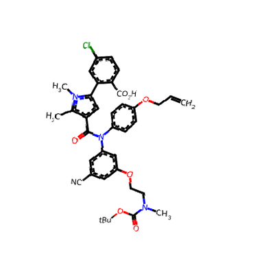 C=CCOc1ccc(N(C(=O)c2cc(-c3cc(Cl)ccc3C(=O)O)n(C)c2C)c2cc(C#N)cc(OCCN(C)C(=O)OC(C)(C)C)c2)cc1